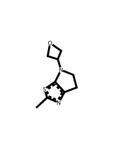 Cc1nc2c(s1)N(C1COC1)CC2